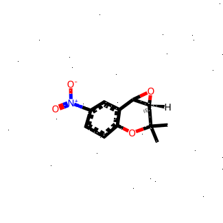 CC1(C)Oc2ccc([N+](=O)[O-])cc2C2O[C@@H]21